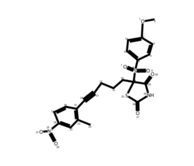 COc1ccc(S(=O)(=O)C2(CCCC#Cc3ccc([N+](=O)[O-])cc3C)SC(=O)NC2=O)cc1